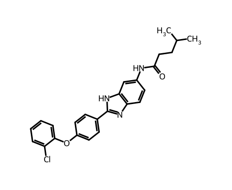 CC(C)CCC(=O)Nc1ccc2nc(-c3ccc(Oc4ccccc4Cl)cc3)[nH]c2c1